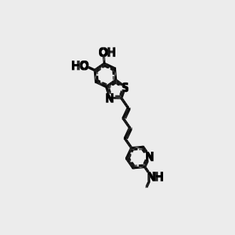 CNc1ccc(/C=C/C=C/c2nc3cc(O)c(O)cc3s2)cn1